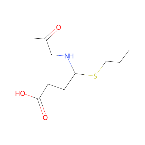 CCCSC(CCC(=O)O)NCC(C)=O